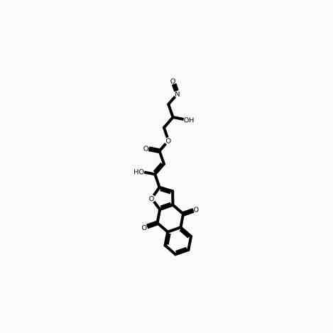 O=NCC(O)COC(=O)/C=C(\O)c1cc2c(o1)C(=O)c1ccccc1C2=O